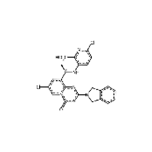 C[C@@H](Nc1ccc(Cl)nc1C(=O)O)c1cc(Cl)cn2c(=O)cc(N3Cc4ccccc4C3)nc12